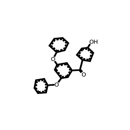 O=C(c1ccc(O)cc1)c1cc(Oc2ccccc2)cc(Oc2ccccc2)c1